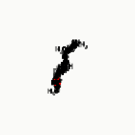 COc1ccc(C(c2ccc(Oc3c(F)c(F)c(-c4c(F)c(F)c(Bc5ccc(-c6ccc(Oc7ccc(S(=O)(=O)c8ccc(OC)c(C)c8)cc7C)cc6)cc5)c(F)c4F)c(F)c3F)cc2)(C(F)(F)F)C(F)(F)F)cc1